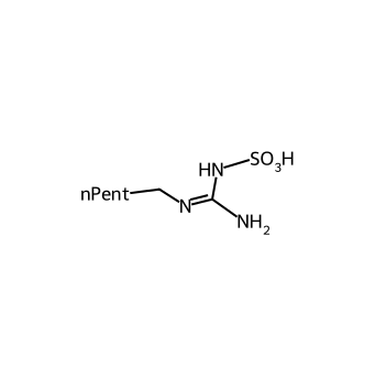 CCCCCCN=C(N)NS(=O)(=O)O